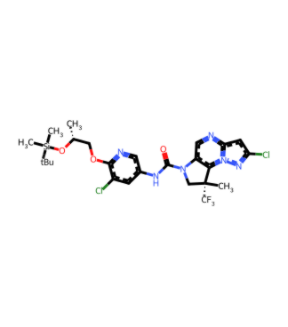 C[C@H](COc1ncc(NC(=O)N2C[C@@](C)(C(F)(F)F)c3c2cnc2cc(Cl)nn32)cc1Cl)O[Si](C)(C)C(C)(C)C